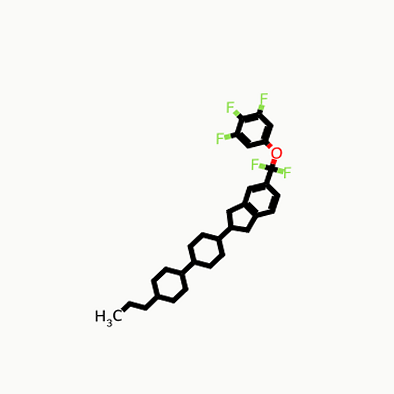 CCCC1CCC(C2CCC(C3Cc4ccc(C(F)(F)Oc5cc(F)c(F)c(F)c5)cc4C3)CC2)CC1